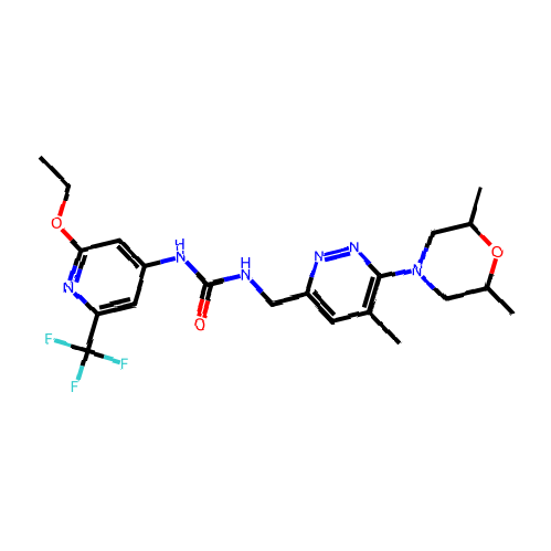 CCOc1cc(NC(=O)NCc2cc(C)c(N3CC(C)OC(C)C3)nn2)cc(C(F)(F)F)n1